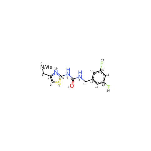 CNCc1csc(NC(=O)NCc2cc(F)cc(F)c2)n1